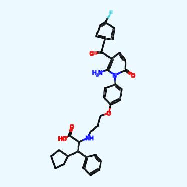 Nc1c(C(=O)c2ccc(F)cc2)ccc(=O)n1-c1ccc(OCCCNC(C(=O)O)C(c2ccccc2)C2CCCC2)cc1